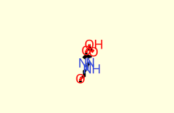 COCCNc1ncc(OC(=O)O)cn1